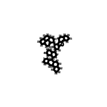 c1ccc2c(-c3ccc(-c4cc(-c5ccc6ccc7cccc8ccc5c6c78)c5c(c4)oc4c6ccccc6ccc45)c4ccccc34)c3ccc4ccccc4c3cc2c1